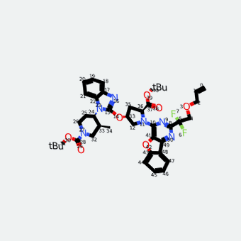 C=CCOCC(F)(F)c1nc(N2C[C@@H](Oc3nc4ccccc4n3[C@H]3CCN(C(=O)OC(C)(C)C)C[C@@H]3C)C[C@H]2C(=O)OC(C)(C)C)c2oc3ccccc3c2n1